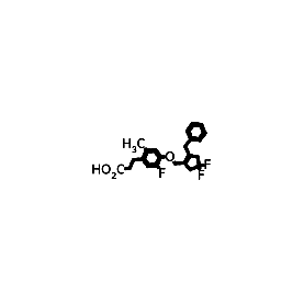 Cc1cc(OCC2=C(Cc3ccccc3)CC(F)(F)C2)c(F)cc1CCC(=O)O